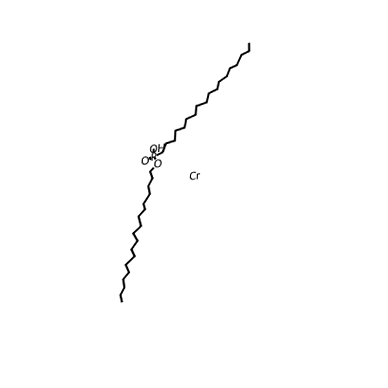 CCCCCCCCCCCCCCCCCCOP(=O)(O)CCCCCCCCCCCCCCCCCC.[Cr]